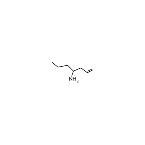 C=CCC(N)CCC